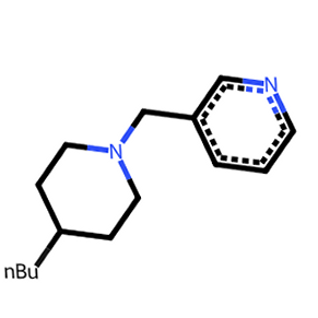 CCCCC1CCN(Cc2cccnc2)CC1